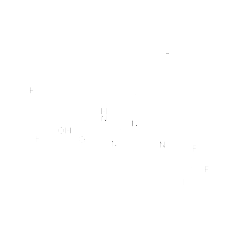 O=C(CC(O)(CF)CF)Nc1nc2ccc(C(F)(F)F)nc2n1-c1ccc(F)cc1